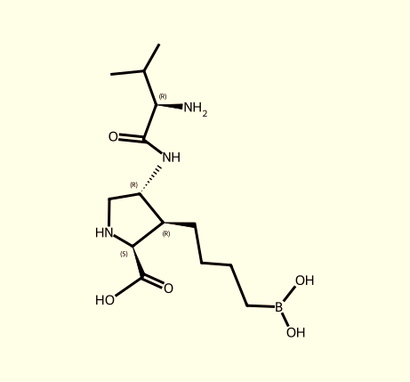 CC(C)[C@@H](N)C(=O)N[C@H]1CN[C@H](C(=O)O)[C@@H]1CCCCB(O)O